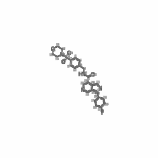 O=C(NCc1ccc(S(=O)(=O)N2CCOCC2)cc1)c1cncc2c1cnn2-c1ccc(F)cc1